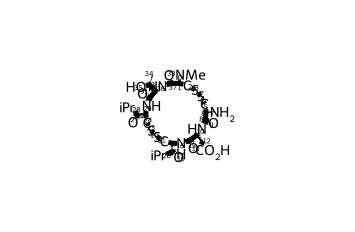 CN[C@H]1CSSC[C@H](N)C(=O)N[C@@H](CC(=O)O)C(=O)N[C@H](C(=O)C(C)C)CSSC[C@@H](C(=O)C(C)C)NC(=O)[C@H]([C@@H](C)O)NC1=O